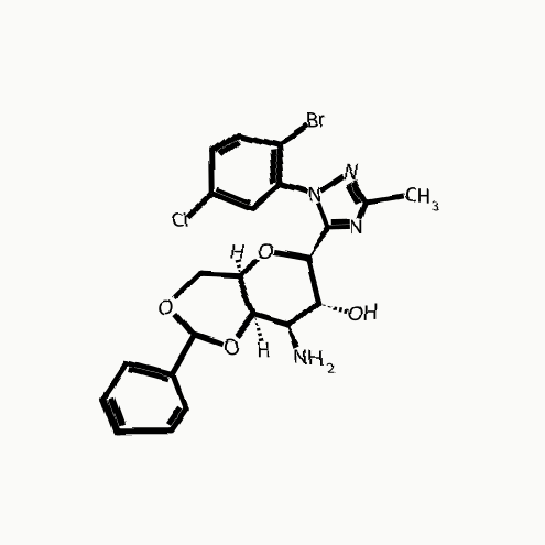 Cc1nc([C@@H]2O[C@@H]3COC(c4ccccc4)O[C@@H]3[C@H](N)[C@H]2O)n(-c2cc(Cl)ccc2Br)n1